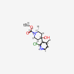 Cc1ccnc(Cl)c1C1(O)CCN(C(=O)OC(C)(C)C)[C@H](C)C1